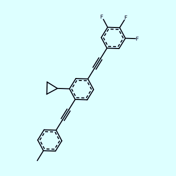 Cc1ccc(C#Cc2ccc(C#Cc3cc(F)c(F)c(F)c3)cc2C2CC2)cc1